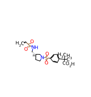 C=CS(=O)(=O)NC[C@H]1CCN(S(=O)(=O)c2ccc(C(C)(C)C(=O)O)cc2)C1